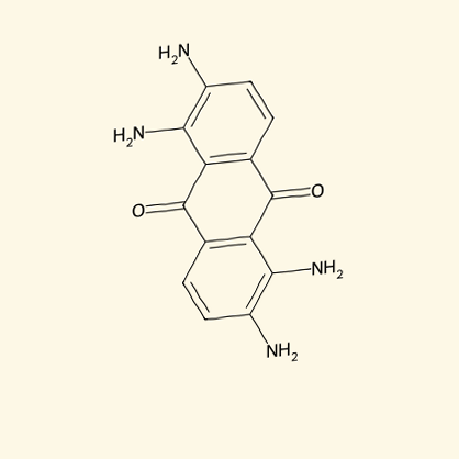 Nc1ccc2c(c1N)C(=O)c1ccc(N)c(N)c1C2=O